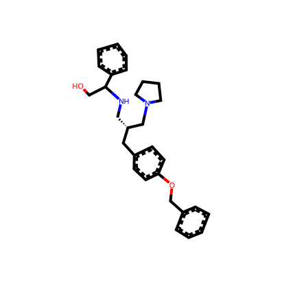 OCC(NC[C@@H](Cc1ccc(OCc2ccccc2)cc1)CN1CCCC1)c1ccccc1